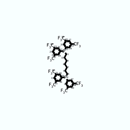 FC(F)(F)c1cc(P(CCCCCCCP(c2cc(C(F)(F)F)cc(C(F)(F)F)c2)c2cc(C(F)(F)F)cc(C(F)(F)F)c2)c2cc(C(F)(F)F)cc(C(F)(F)F)c2)cc(C(F)(F)F)c1